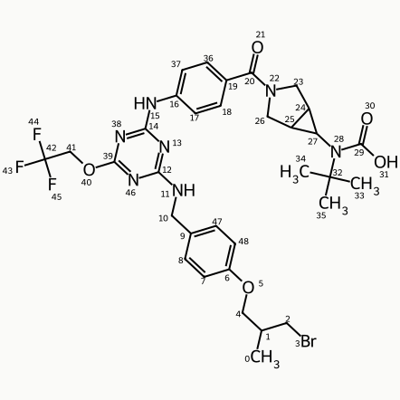 CC(CBr)COc1ccc(CNc2nc(Nc3ccc(C(=O)N4CC5C(C4)C5N(C(=O)O)C(C)(C)C)cc3)nc(OCC(F)(F)F)n2)cc1